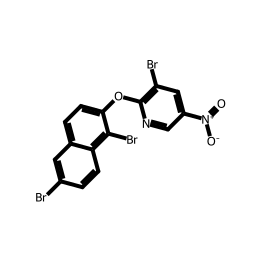 O=[N+]([O-])c1cnc(Oc2ccc3cc(Br)ccc3c2Br)c(Br)c1